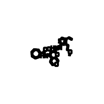 CC[C@@H]1CSC(=NNC(=O)C(=O)[C@H](NC(=O)C2CCCCCC2)C2CCOCC2)N1CCOC